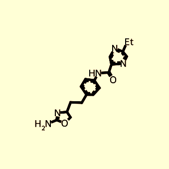 CCc1cnc(C(=O)Nc2ccc(CCC3COC(N)=N3)cc2)cn1